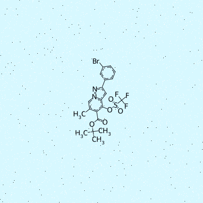 Cc1cn2nc(-c3cccc(Br)c3)cc2c(OS(=O)(=O)C(F)(F)F)c1C(=O)OC(C)(C)C